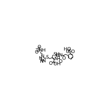 CS(=O)(=O)NCCn1nnnc1SCC1=C(C(=O)O)N2C(=O)[C@@H](NC(=O)Cc3ccccc3S(=O)(=O)O)[C@H]2SC1